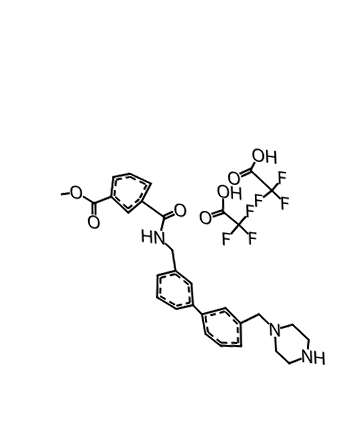 COC(=O)c1cccc(C(=O)NCc2cccc(-c3cccc(CN4CCNCC4)c3)c2)c1.O=C(O)C(F)(F)F.O=C(O)C(F)(F)F